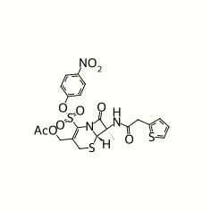 CC(=O)OCC1=C(S(=O)(=O)Oc2ccc([N+](=O)[O-])cc2)N2C(=O)[C@@](C)(NC(=O)Cc3cccs3)[C@@H]2SC1